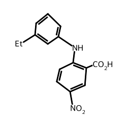 CCc1cccc(Nc2ccc([N+](=O)[O-])cc2C(=O)O)c1